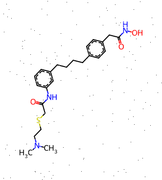 CN(C)CCSCC(=O)Nc1cccc(CCCCc2ccc(CC(=O)NO)cc2)c1